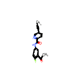 CC#Cc1ccc(C(=O)Nc2ccc(F)c(C(C)=O)c2)nc1